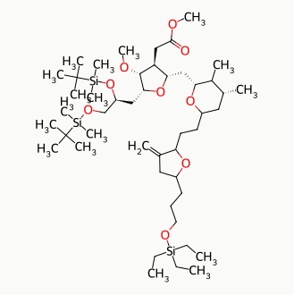 C=C1CC(CCCO[Si](CC)(CC)CC)OC1CCC1C[C@@H](C)C(C)[C@@H](C[C@@H]2O[C@H](C[C@@H](CO[Si](C)(C)C(C)(C)C)O[Si](C)(C)C(C)(C)C)[C@H](OC)[C@H]2CC(=O)OC)O1